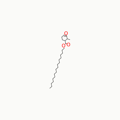 CCCCCCCCCCCCCCCCCCOC(=O)C1CCC2OC2(C)C1C